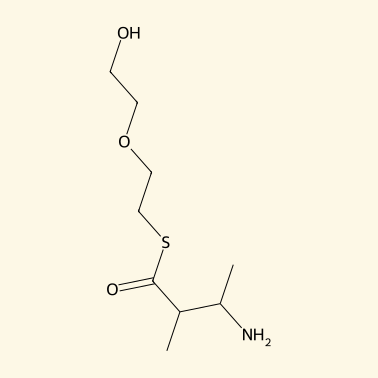 CC(N)C(C)C(=O)SCCOCCO